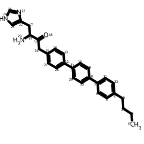 CCCCc1ccc(-c2ccc(-c3ccc(CC(=O)C(N)Cc4c[nH]cn4)cc3)cc2)cc1